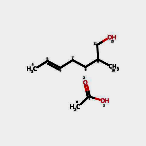 CC(=O)O.CC=CCCC(C)CO